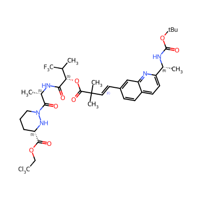 CC([C@H](OC(=O)C(C)(C)/C=C/c1ccc2ccc([C@@H](C)NC(=O)OC(C)(C)C)nc2c1)C(=O)N[C@@H](C)C(=O)N1CCC[C@@H](C(=O)OCC(Cl)(Cl)Cl)N1)C(F)(F)F